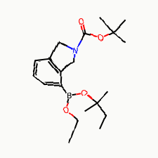 CCOB(OC(C)(C)CC)c1cccc2c1CN(C(=O)OC(C)(C)C)C2